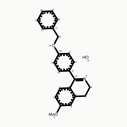 COc1ccc2c(c1)CCN=C2c1ccc(OCc2ccccc2)cc1.Cl